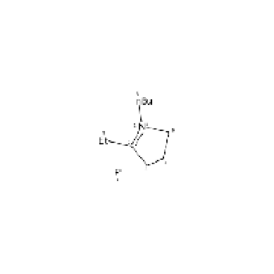 CCCC[N+]1=C(CC)CCC1.[F-]